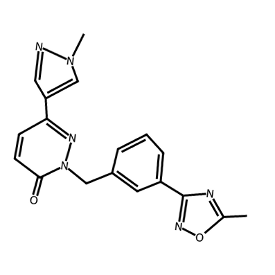 Cc1nc(-c2cccc(Cn3nc(-c4cnn(C)c4)ccc3=O)c2)no1